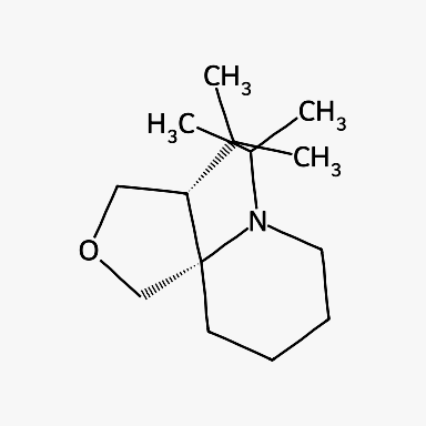 CC(C)[C@H]1COC[C@]12CCCCN2C(C)C